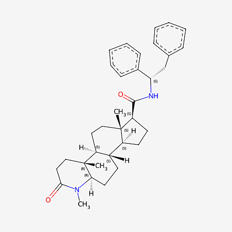 CN1C(=O)CC[C@]2(C)[C@H]3CC[C@]4(C)[C@@H](C(=O)N[C@@H](Cc5ccccc5)c5ccccc5)CC[C@H]4[C@@H]3CC[C@@H]12